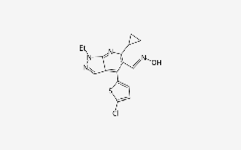 CCn1ncc2c(-c3ccc(Cl)s3)c(/C=N/O)c(C3CC3)nc21